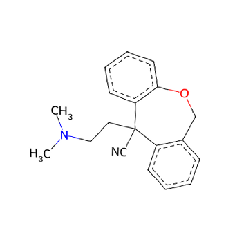 CN(C)CCC1(C#N)c2ccccc2COc2ccccc21